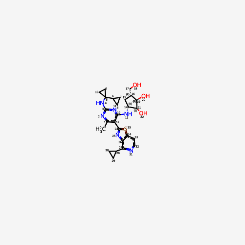 Cc1nc(NC2(C3CC3)CC2)nc(N[C@@H]2C[C@H](CO)[C@@H](O)[C@H]2O)c1-c1nc2c(C3CC3)nccc2s1